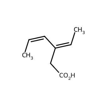 C/C=C\C(=C/C)CC(=O)O